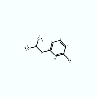 CC(C)Cc1cccc(Br)n1